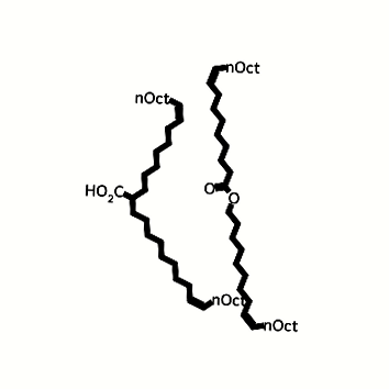 CCCCCCCC/C=C\CCCCCCCCC(CCCCCC/C=C\CCCCCCCC)C(=O)O.CCCCCCCC/C=C\CCCCCCCCOC(=O)CCCCCCC/C=C\CCCCCCCC